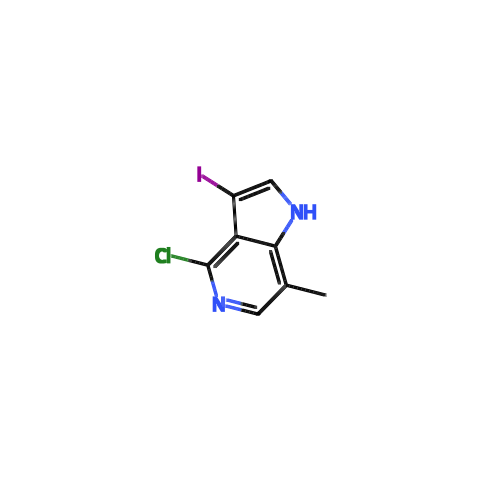 Cc1cnc(Cl)c2c(I)c[nH]c12